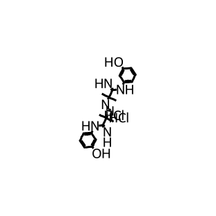 CC(C)(/N=N/C(C)(C)C(=N)Nc1cccc(O)c1)C(=N)Nc1cccc(O)c1.Cl.Cl